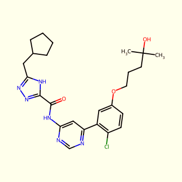 CC(C)(O)CCCOc1ccc(Cl)c(-c2cc(NC(=O)c3nnc(CC4CCCC4)[nH]3)ncn2)c1